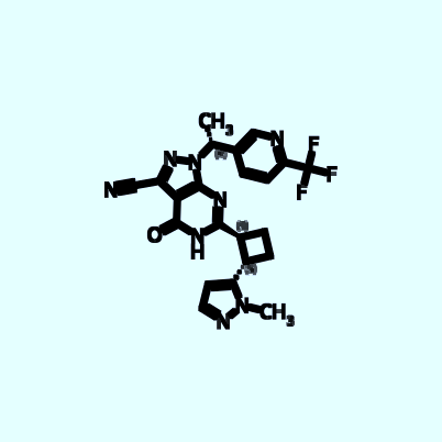 C[C@H](c1ccc(C(F)(F)F)nc1)n1nc(C#N)c2c(=O)[nH]c([C@H]3CC[C@@H]3c3ccnn3C)nc21